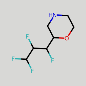 FC(F)C(F)C(F)C1CNCCO1